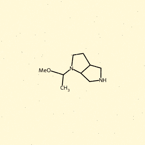 COC(C)N1[CH]CC2CNCC21